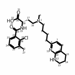 CN(CCCCc1ccc2c(n1)NCCC2)CC[C@H](NC(=O)c1cccc(F)c1Cl)C(=O)O